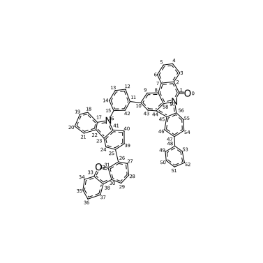 O=c1c2ccccc2c2cc(-c3cccc(-n4c5ccccc5c5cc(-c6cccc7c6oc6ccccc67)ccc54)c3)cc3c4cc(-c5ccccc5)ccc4n1c23